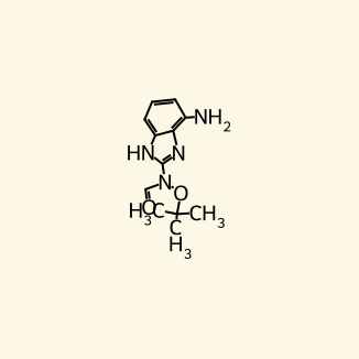 CC(C)(C)ON(C=O)c1nc2c(N)cccc2[nH]1